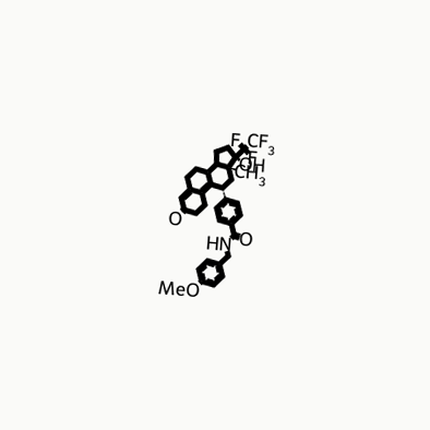 COc1ccc(CNC(=O)c2ccc([C@H]3C[C@@]4(C)C(CC[C@]4(O)C(F)(F)C(F)(F)F)C4CCC5=CC(=O)CCC5=C43)cc2)cc1